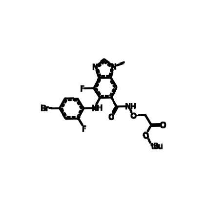 Cn1cnc2c(F)c(Nc3ccc(Br)cc3F)c(C(=O)NOCC(=O)OC(C)(C)C)cc21